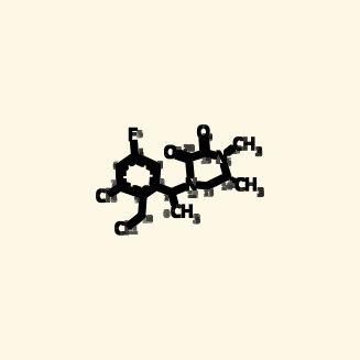 CC(c1cc(F)cc(Cl)c1CCl)N1C[C@@H](C)N(C)C(=O)C1=O